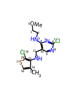 COCCNc1nc(Cl)ncc1CNc1c(C)csc1Cl